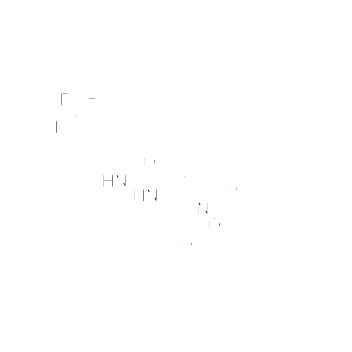 CC(=O)ON1C=C(NC(=O)Nc2ccc(C(F)(F)F)cc2)C=CC1Oc1ccc2c(c1)CCC=C2